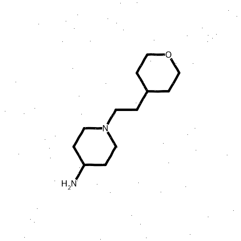 NC1CCN(CCC2CCOCC2)CC1